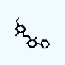 Cc1cc(CCl)ccc1/C=C/c1cccc(C2=CCCC=C2)c1C